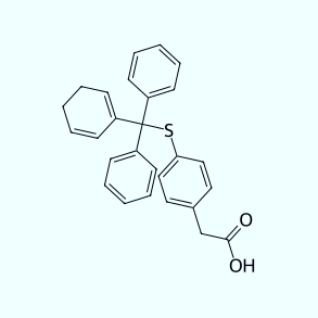 O=C(O)Cc1ccc(SC(C2=CCCC=C2)(c2ccccc2)c2ccccc2)cc1